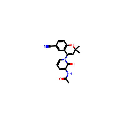 CC(=O)Nc1cccn(C2=CC(C)(C)Oc3ccc(C#N)cc32)c1=O